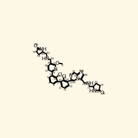 COc1nc(-c2cccc(-c3cccc(-c4cn5c(CNCC6CCC(=O)N6)cnc5cn4)c3Cl)c2Cl)ccc1CNCC1CCC(=O)N1